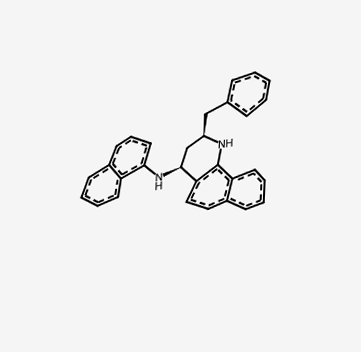 c1ccc(C[C@@H]2C[C@H](Nc3cccc4ccccc34)c3ccc4ccccc4c3N2)cc1